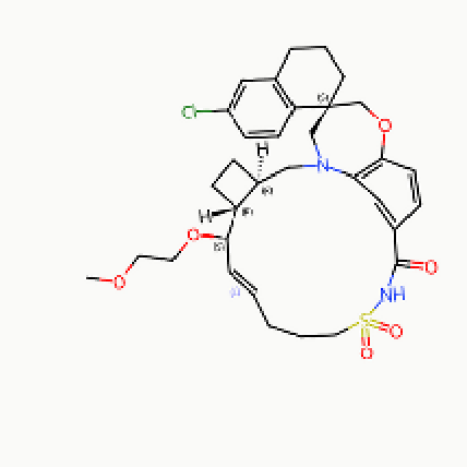 COCCO[C@@H]1/C=C/CCCS(=O)(=O)NC(=O)c2ccc3c(c2)N(C[C@@H]2CC[C@H]21)C[C@@]1(CCCc2cc(Cl)ccc21)CO3